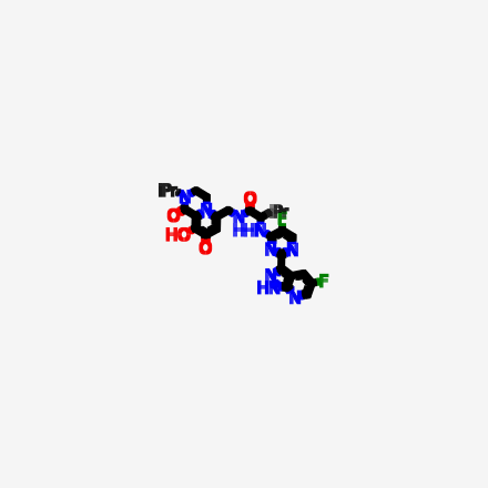 CC(C)C(Nc1nc(-c2n[nH]c3ncc(F)cc23)ncc1F)C(=O)NCc1cc(=O)c(O)c2n1CCN(C(C)C)C2=O